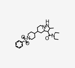 CCN(CC)C(=O)C1C(C)NN2CCC(C3CCN(S(=O)(=O)c4ccccc4)CC3)CC12